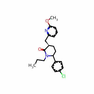 CCCN1C(=O)[C@@H](Cc2cccc(OC)n2)CCC1c1ccc(Cl)cc1